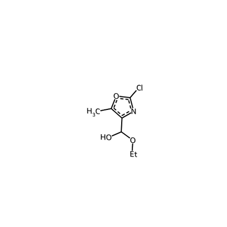 CCOC(O)c1nc(Cl)oc1C